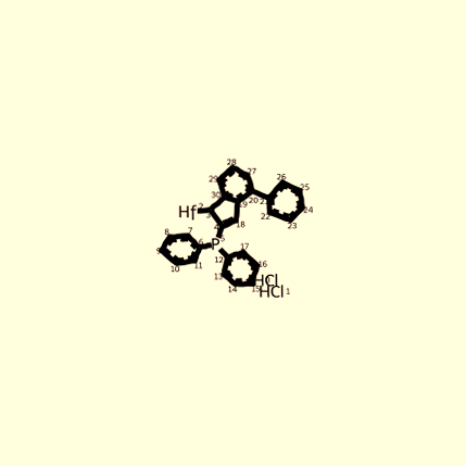 Cl.Cl.[Hf][CH]1C(P(c2ccccc2)c2ccccc2)=Cc2c(-c3ccccc3)cccc21